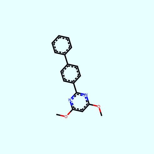 COc1cc(OC)nc(-c2ccc(-c3ccccc3)cc2)n1